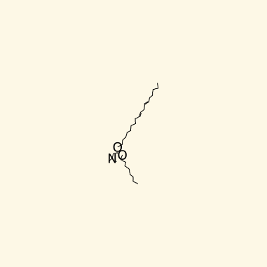 CCCCCC=CCC=CCCCCCCCCOC(CN(C)C)OCCCCCCCC